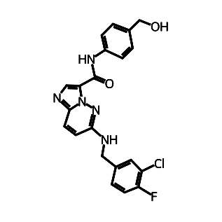 O=C(Nc1ccc(CO)cc1)c1cnc2ccc(NCc3ccc(F)c(Cl)c3)nn12